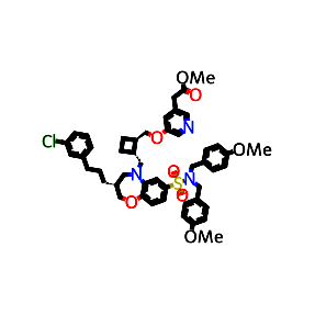 COC(=O)Cc1cncc(OC[C@@H]2CC[C@H]2CN2C[C@@H](CCCc3cccc(Cl)c3)COc3ccc(S(=O)(=O)N(Cc4ccc(OC)cc4)Cc4ccc(OC)cc4)cc32)c1